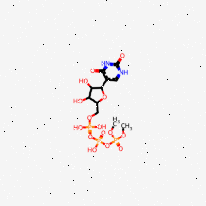 COP(=O)(OC)OP(=O)(O)O[PH](O)(O)OCC1OC(c2c[nH]c(=O)[nH]c2=O)C(O)C1O